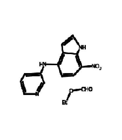 CCOC=O.O=[N+]([O-])c1ccc(Nc2cccnc2)c2cc[nH]c12